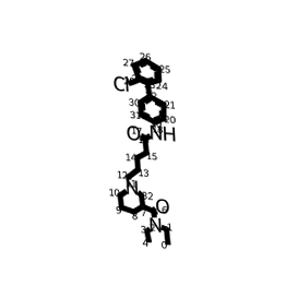 CCN(CC)C(=O)C1CCCN(CCCCC(=O)Nc2ccc(-c3ccccc3Cl)cc2)C1